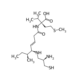 CC[C@H](C)[C@@H](/C=C/CC(=O)N[C@@](CCSC)(C(=O)O)C(C)C)NC[C@@H](N)CS